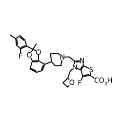 Cc1ccc(C2(C)Oc3cccc(C4CCN(Cc5nc6sc(C(=O)O)c(F)c6n5CC5CCO5)CC4)c3O2)c(F)c1